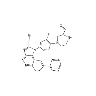 C#Cc1nc2cnc3ccc(-c4cccnc4)cc3c2n1-c1ccc(N2CCN(C)C(C=O)C2)c(F)c1